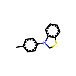 Cc1ccc(N2CSc3ccccc32)cc1